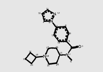 CN(C(=O)c1ccc(-n2cccn2)cc1)C1CCN(C2CCC2)CC1